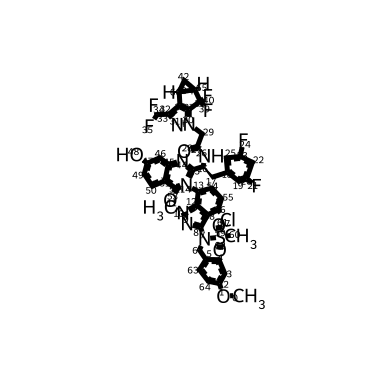 COc1ccc(CN(c2nn(C)c3c(-n4c([C@H](Cc5cc(F)cc(F)c5)NC(=O)Cn5nc(C(F)F)c6c5C(F)(F)[C@@H]5C[C@H]65)nc5cc(O)ccc5c4=O)ccc(Cl)c23)S(C)(=O)=O)cc1